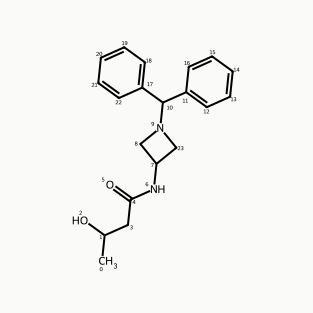 CC(O)CC(=O)NC1CN(C(c2ccccc2)c2ccccc2)C1